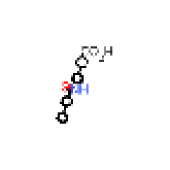 O=C(Nc1ccc(C2CCC(C(=O)O)CC2)cc1)c1ccc(-c2ccccc2)cc1